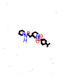 CC(C)c1ccc(S(=O)(=O)N2CCCC(CC(=O)NN3CCCCC3)C2)cc1